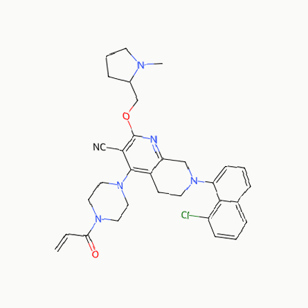 C=CC(=O)N1CCN(c2c(C#N)c(OCC3CCCN3C)nc3c2CCN(c2cccc4cccc(Cl)c24)C3)CC1